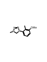 COc1cccc(N2CN(C)N=N2)c1C